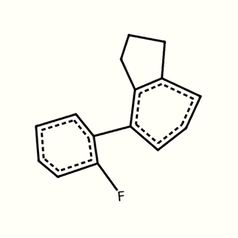 Fc1ccccc1-c1cccc2c1CCC2